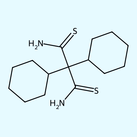 NC(=S)C(C(N)=S)(C1CCCCC1)C1CCCCC1